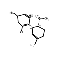 C=C(C)[C@@H]1CCC(C)=C[C@@H]1C1=C(O)CC(CCCC)C=C1O